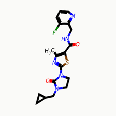 Cc1nc(N2CCN(CC3CC3)C2=O)sc1C(=O)NCc1ncccc1F